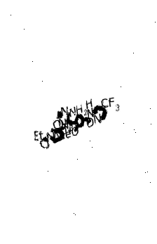 CCC(=O)N1CCCC(C)(c2nc(-c3ccc(C(=O)Nc4cc(C(F)(F)F)ccn4)cc3OC)c3c(N)nccn23)C1